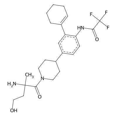 CC(N)(CCO)C(=O)N1CCC(c2ccc(NC(=O)C(F)(F)F)c(C3=CCCCC3)c2)CC1